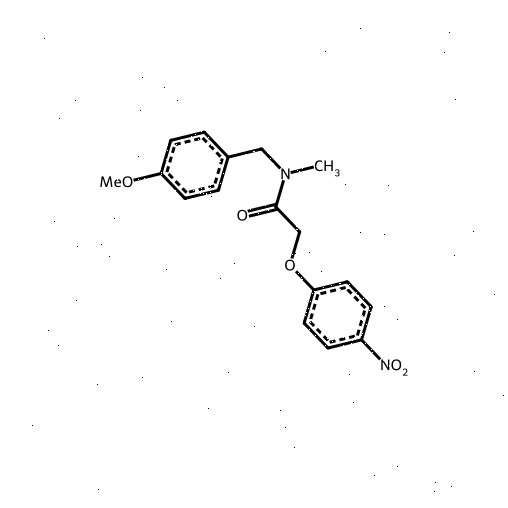 COc1ccc(CN(C)C(=O)COc2ccc([N+](=O)[O-])cc2)cc1